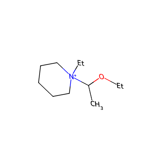 CCOC(C)[N+]1(CC)CCCCC1